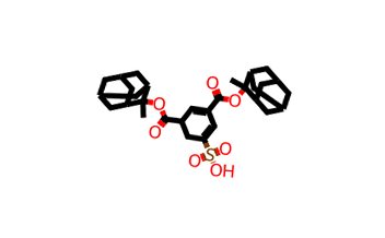 CC1(OC(=O)C2=CC(C(=O)OC3(C)C4CC5CC(C4)CC3C5)CC(S(=O)(=O)O)=C2)C2CC3CC(C2)CC1C3